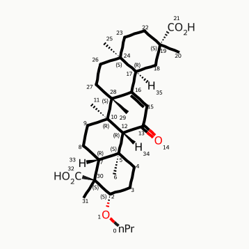 CCCO[C@H]1CC[C@@]2(C)[C@@H](CC[C@]3(C)[C@@H]2C(=O)C=C2[C@@H]4C[C@@](C)(C(=O)O)CC[C@]4(C)CC[C@]23C)[C@]1(C)C(=O)O